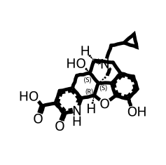 O=C(O)c1cc2c([nH]c1=O)[C@@H]1Oc3c(O)ccc4c3[C@@]13CCN(CC1CC1)[C@H](C4)[C@]3(O)C2